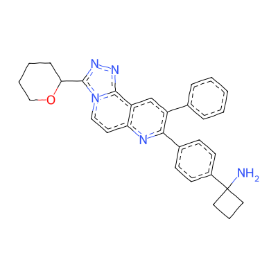 NC1(c2ccc(-c3nc4ccn5c(C6CCCCO6)nnc5c4cc3-c3ccccc3)cc2)CCC1